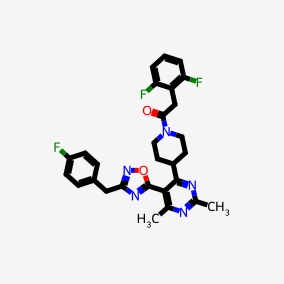 Cc1nc(C)c(-c2nc(Cc3ccc(F)cc3)no2)c(C2CCN(C(=O)Cc3c(F)cccc3F)CC2)n1